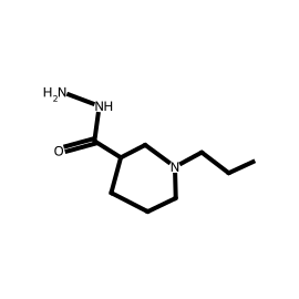 CCCN1CCCC(C(=O)NN)C1